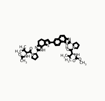 COC(=O)N[C@H](C(=O)N1CCC[C@H]1c1nc2ccc3cc(-c4cc5c(s4)-c4[nH]c([C@@H]6CCCN6C(=O)[C@@H](NC(C)=O)C(C)C)nc4CC5)ccc3c2[nH]1)C(C)C